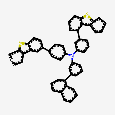 c1cc(-c2cccc3ccccc23)cc(N(c2ccc(-c3ccc4sc5ccccc5c4c3)cc2)c2cccc(-c3cccc4sc5ccccc5c34)c2)c1